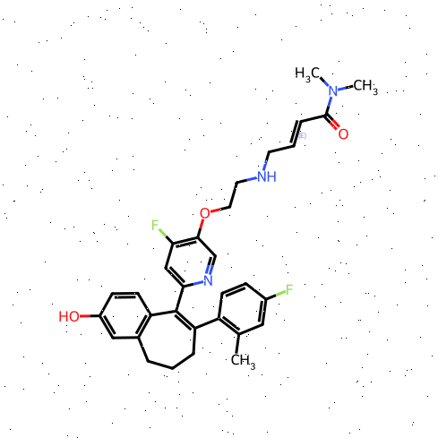 Cc1cc(F)ccc1C1=C(c2cc(F)c(OCCNC/C=C/C(=O)N(C)C)cn2)c2ccc(O)cc2CCC1